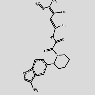 C=N/C(C)=C(C)\C=C(/C)NC(=O)C(=O)N1CCCC[C@H]1c1ccc2[nH]nc(N)c2c1